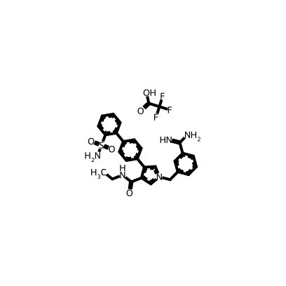 CCNC(=O)c1cn(Cc2cccc(C(=N)N)c2)cc1-c1ccc(-c2ccccc2S(N)(=O)=O)cc1.O=C(O)C(F)(F)F